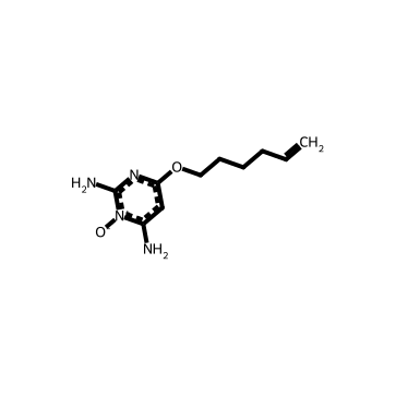 C=CCCCCOc1cc(N)[n+]([O-])c(N)n1